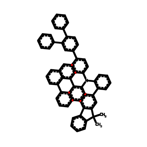 CC1(C)c2ccccc2-c2ccc(-c3ccccc3N(c3ccc(-c4ccc(-c5ccccc5)c(-c5ccccc5)c4)cc3)c3ccccc3-c3cccc4cccc(-c5ccccc5)c34)cc21